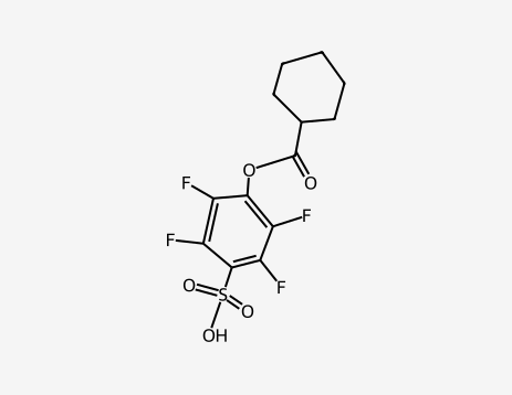 O=C(Oc1c(F)c(F)c(S(=O)(=O)O)c(F)c1F)C1CCCCC1